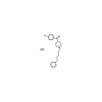 Cl.O=C(c1ccc(F)cc1)C1CCN(CCCCCc2ccccc2)CC1